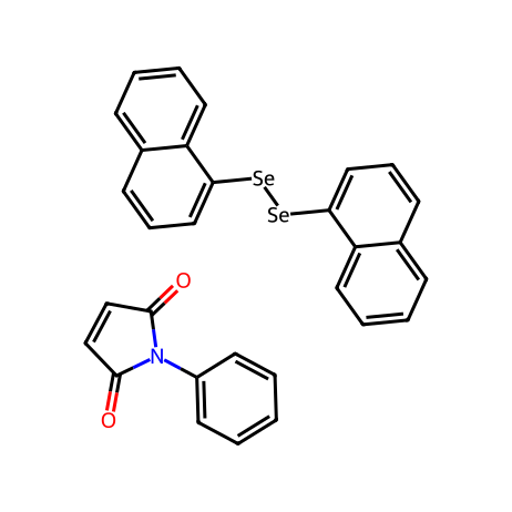 O=C1C=CC(=O)N1c1ccccc1.c1ccc2c([Se][Se]c3cccc4ccccc34)cccc2c1